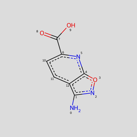 Nc1noc2nc(C(=O)O)ccc12